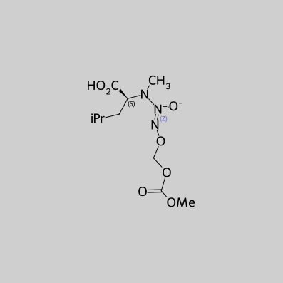 COC(=O)OCO/N=[N+](\[O-])N(C)[C@@H](CC(C)C)C(=O)O